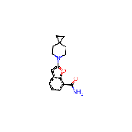 NC(=O)c1cccc2cc(N3CCC4(CC3)CC4)oc12